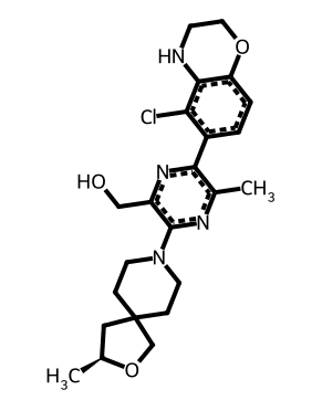 Cc1nc(N2CCC3(CC2)CO[C@@H](C)C3)c(CO)nc1-c1ccc2c(c1Cl)NCCO2